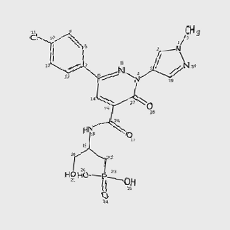 Cn1cc(-n2nc(-c3ccc(Cl)cc3)cc(C(=O)NC(CO)CP(=O)(O)O)c2=O)cn1